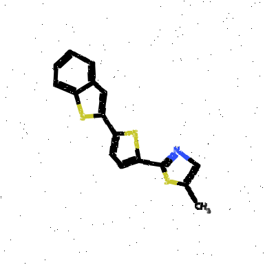 Cc1cnc(-c2ccc(-c3cc4ccccc4s3)s2)s1